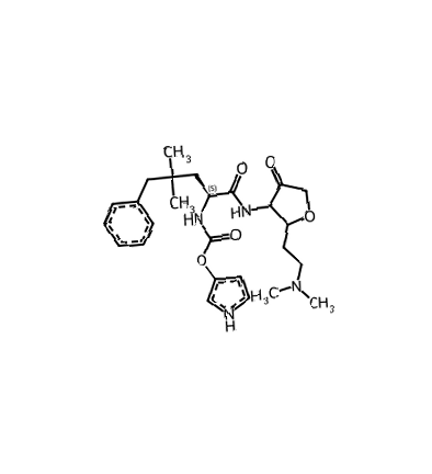 CN(C)CCC1OCC(=O)C1NC(=O)[C@H](CC(C)(C)Cc1ccccc1)NC(=O)Oc1cc[nH]c1